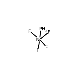 [F][Ni]([F])([F])([F])[PH2]